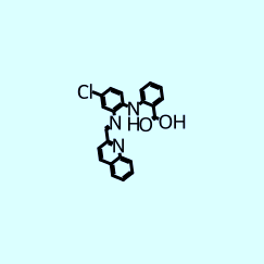 O=C(O)c1ccccc1Nc1ccc(Cl)cc1N=Cc1ccc2ccccc2n1